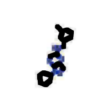 Cc1cccc(CNc2cnc3c(cnn3-c3ccccc3)n2)c1